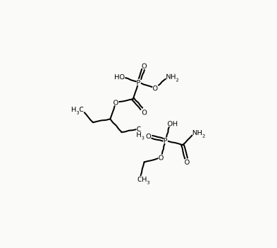 CCC(CC)OC(=O)P(=O)(O)ON.CCOP(=O)(O)C(N)=O